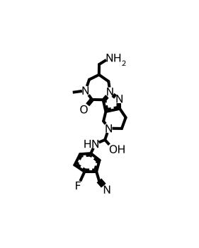 CN1CC(CN)Cn2nc3c(c2C1=O)CN(C(O)Nc1ccc(F)c(C#N)c1)CC3